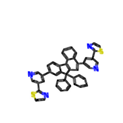 c1ccc(C2(c3ccccc3)c3cc(-c4cncc(-c5nccs5)c4)ccc3-c3c2cc(-c2cncc(-c4nccs4)c2)c2ccccc32)cc1